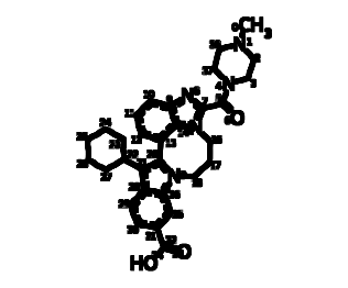 CN1CCN(C(=O)c2nc3cccc4c3n2CCCn2c-4c(C3CCCCC3)c3ccc(C(=O)O)cc32)CC1